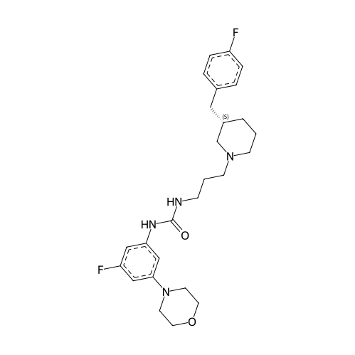 O=C(NCCCN1CCC[C@@H](Cc2ccc(F)cc2)C1)Nc1cc(F)cc(N2CCOCC2)c1